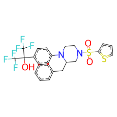 O=S(=O)(c1cccs1)N1CCN(c2ccc(C(O)(C(F)(F)F)C(F)(F)F)cc2)C(Cc2ccccc2)C1